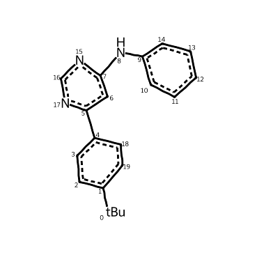 CC(C)(C)c1ccc(-c2cc(Nc3ccccc3)ncn2)cc1